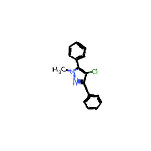 Cn1nc(-c2ccccc2)c(Cl)c1-c1ccccc1